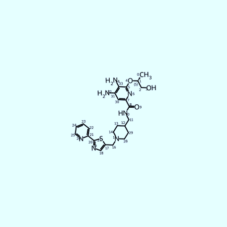 C[C@@H](CO)Oc1nc(C(=O)NCC2CCN(Cc3cnc(-c4ccccn4)s3)CC2)cc(N)c1N